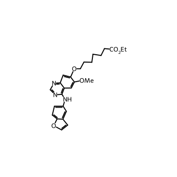 CCOC(=O)CCCCCCOc1cc2ncnc(Nc3ccc4occc4c3)c2cc1OC